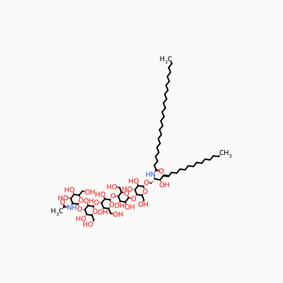 CCCCCCCCCCCCC/C=C/[C@@H](O)[C@H](CO[C@@H]1OC(CO)[C@@H](O[C@@H]2OC(CO)[C@H](O[C@@H]3OC(CO)[C@H](O)[C@H](O[C@H]4OC(CO)[C@H](O)[C@H](O[C@@H]5OC(CO)[C@H](O)[C@H](O)C5NC(C)=O)C4O)C3O)[C@H](O)C2O)[C@H](O)C1O)NC(=O)CCCCCCCCCCCCCCCCCCCCCCCCC